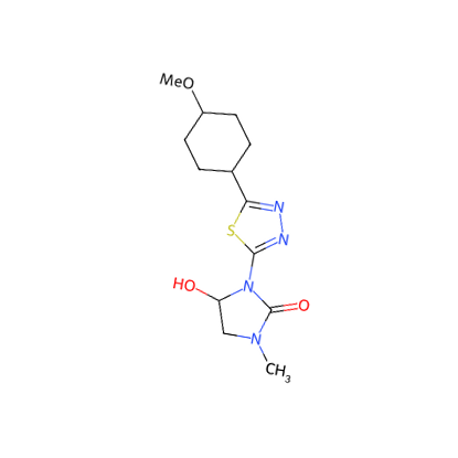 COC1CCC(c2nnc(N3C(=O)N(C)CC3O)s2)CC1